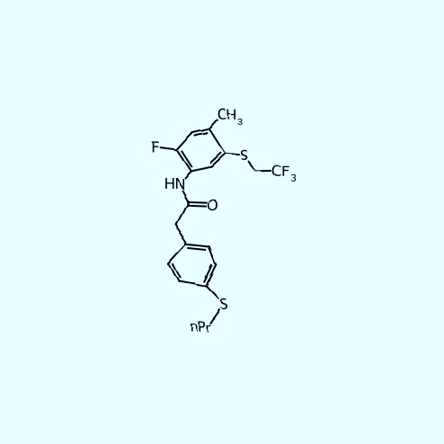 CCCSc1ccc(CC(=O)Nc2cc(SCC(F)(F)F)c(C)cc2F)cc1